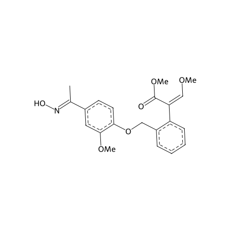 CO/C=C(\C(=O)OC)c1ccccc1COc1ccc(/C(C)=N/O)cc1OC